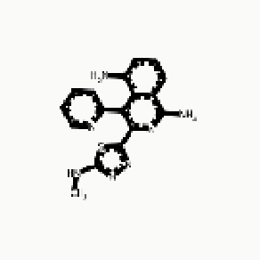 CNc1nnc(-c2nc(N)c3cccc(N)c3c2-c2ccccn2)s1